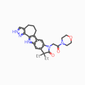 CCC1(CC)C(=O)N(CC(=O)N2CCOCC2)c2cc3c4c([nH]c3cc21)-c1n[nH]cc1CCC4